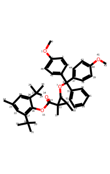 COc1ccc(C(OC2C(C)C2(C)C(=O)Oc2c(C(C)(C)C)cc(C)cc2C(C)(C)C)(c2ccccc2)c2ccc(OC)cc2)cc1